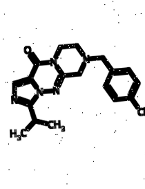 CC(C)c1ncc2c(=O)n3c(nn12)CN(Cc1ccc(Cl)cc1)CC3